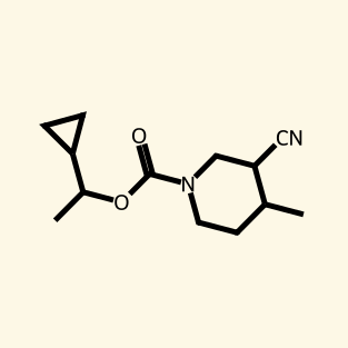 CC1CCN(C(=O)OC(C)C2CC2)CC1C#N